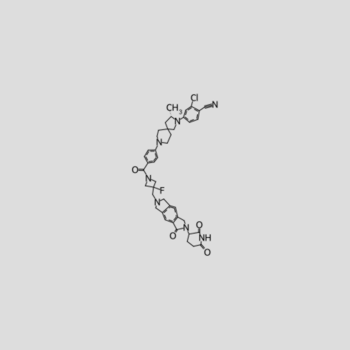 C[C@H]1CC2(CCN(c3ccc(C(=O)N4CC(F)(CN5Cc6cc7c(cc6C5)C(=O)N(C5CCC(=O)NC5=O)C7)C4)cc3)CC2)CN1c1ccc(C#N)c(Cl)c1